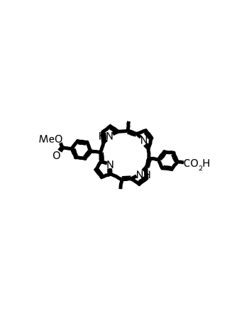 COC(=O)c1ccc(-c2c3nc(c(C)c4ccc([nH]4)c(-c4ccc(C(=O)O)cc4)c4nc(c(C)c5ccc2[nH]5)C=C4)C=C3)cc1